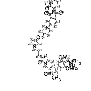 COc1cc(-c2cn(C)c(=O)c3c2CCN(C(=O)NCCCN2CCC(OCC4CCN(c5ccc6c(c5)C(=O)N(C5CCC(=O)NC5=O)C6=O)CC4)C2)C3)cc(OC)c1CN(C)C